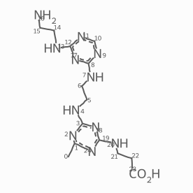 Cc1nc(NCCNc2ncnc(NCCN)n2)nc(NCCC(=O)O)n1